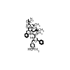 CC(C)C[C@H](NC(=O)[C@H](Cc1ccccc1)NC(=O)[C@@H](NC(=O)[C@H](CCc1ccccc1)NC(=O)CN1CC[Si](C)(O)CC1)C1CC1(C)C)C(=O)[C@@]1(C)CO1